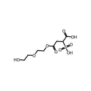 O=C(CC(C(=O)O)S(=O)(=O)O)OCCOCCO